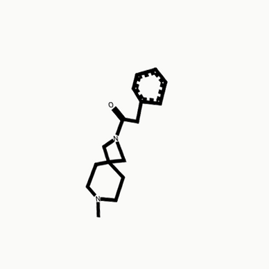 CN1CCC2(CC1)CN(C(=O)Cc1ccccc1)C2